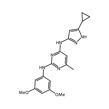 COc1cc(Nc2nc(C)cc(Nc3cc(C4CC4)[nH]n3)n2)cc(OC)c1